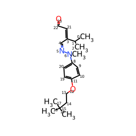 CC(C)C(/C=N\N(C)c1ccc(OCCC(C)(C)C)cc1)=C/C=O